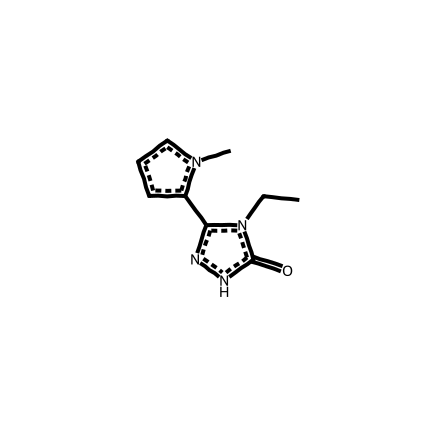 CCn1c(-c2cccn2C)n[nH]c1=O